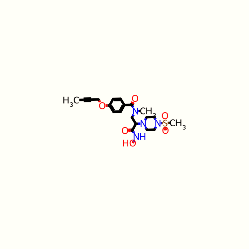 CC#CCOc1ccc(C(=O)N(C)CC(C(=O)NO)N2CCN(S(C)(=O)=O)CC2)cc1